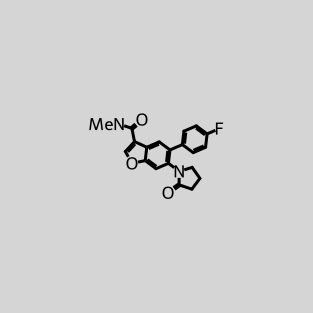 CNC(=O)c1coc2cc(N3CCCC3=O)c(-c3ccc(F)cc3)cc12